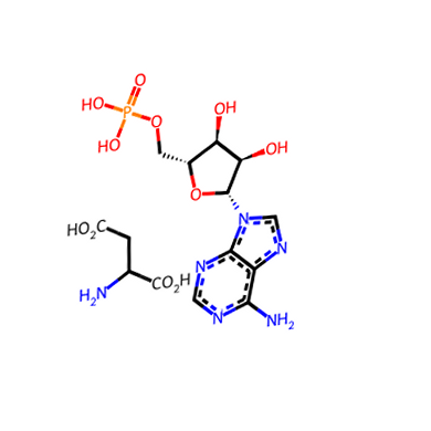 NC(CC(=O)O)C(=O)O.Nc1ncnc2c1ncn2[C@@H]1O[C@H](COP(=O)(O)O)[C@@H](O)[C@H]1O